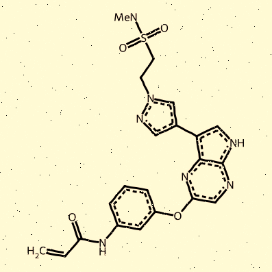 C=CC(=O)Nc1cccc(Oc2cnc3[nH]cc(-c4cnn(CCS(=O)(=O)NC)c4)c3n2)c1